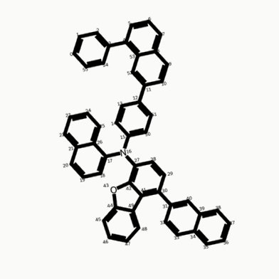 c1ccc(-c2cccc3ccc(-c4ccc(N(c5cccc6ccccc56)c5ccc(-c6ccc7ccccc7c6)c6c5oc5ccccc56)cc4)cc23)cc1